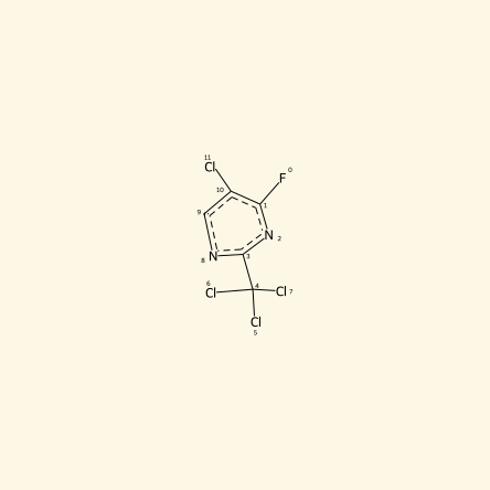 Fc1nc(C(Cl)(Cl)Cl)n[c]c1Cl